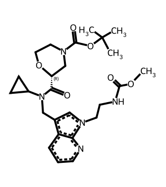 COC(=O)NCCn1cc(CN(C(=O)[C@H]2CN(C(=O)OC(C)(C)C)CCO2)C2CC2)c2cccnc21